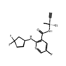 C#C[C@@](C)(CC)NC(=O)c1cc(F)cnc1NC1CCC(F)(F)C1